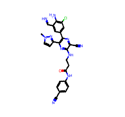 Cn1ccc(-c2nc(NCCC(=O)Nc3ccc(C#N)cc3)c(C#N)nc2-c2cc(Cl)c(N)c(C=N)c2)n1